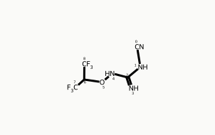 N#CNC(=N)NOC(C(F)(F)F)C(F)(F)F